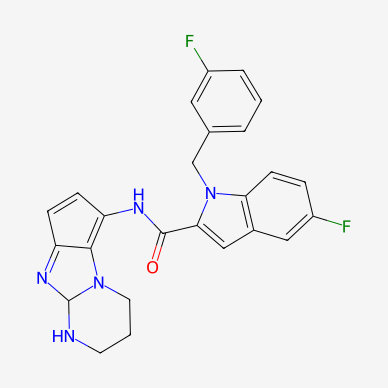 O=C(NC1=C2C(=NC3NCCCN23)C=C1)c1cc2cc(F)ccc2n1Cc1cccc(F)c1